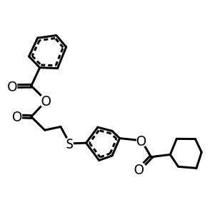 O=C(CCSc1ccc(OC(=O)C2CCCCC2)cc1)OC(=O)c1ccccc1